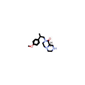 COc1ccc(C(C)CN2CCN3CCNC[C@@H]3C2=O)cc1